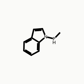 CPn1ccc2ccccc21